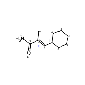 C/C(=C\C1CCCCC1)C(N)=O